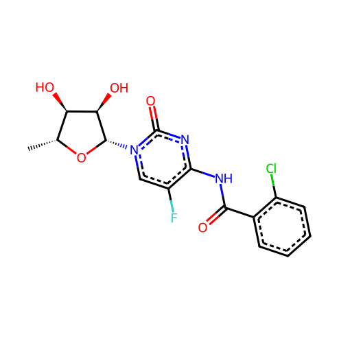 C[C@H]1O[C@@H](n2cc(F)c(NC(=O)c3ccccc3Cl)nc2=O)[C@H](O)[C@@H]1O